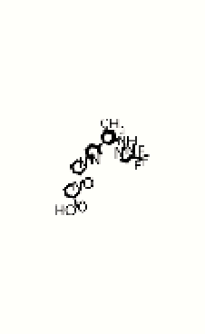 Cc1cc(Nc2nccc(C(F)(F)F)n2)cc(-c2ccc(N3CCC[C@@H](C(=O)N4CCC[C@H](C(=O)O)C4)C3)nc2)c1